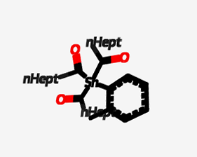 CCCCCCC[C](=O)[Sn]([C](=O)CCCCCCC)([C](=O)CCCCCCC)[c]1ccccc1C